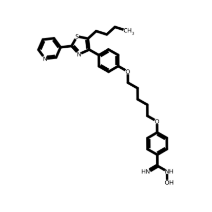 CCCCc1sc(-c2cccnc2)nc1-c1ccc(OCCCCCOc2ccc(C(=N)NO)cc2)cc1